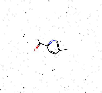 [CH2]c1ccc(C(C)=O)nc1